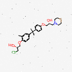 Cc1cc(C(C)(C)c2ccc(OC[C@H](O)CN3CCSCC3)cc2)ccc1OC[C@H](O)CCl